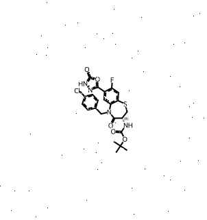 CC(C)(C)OC(=O)N[C@H]1CSc2cc(F)c(-c3n[nH]c(=O)o3)cc2N(Cc2ccc(Cl)cc2)C1=O